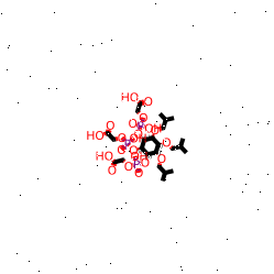 CC(C)CO[C@@H]1[C@@H](OCC(C)C)[C@H](OP(=O)(O)OCC(=O)O)[C@@H](OP(=O)(O)OCC(=O)O)[C@@H](OP(=O)(O)OCC(=O)O)[C@H]1OCC(C)C